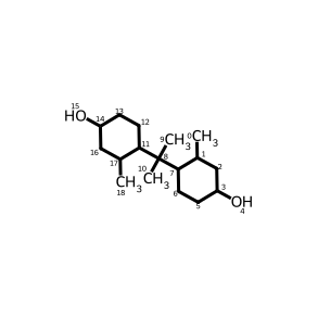 CC1CC(O)CCC1C(C)(C)C1CCC(O)CC1C